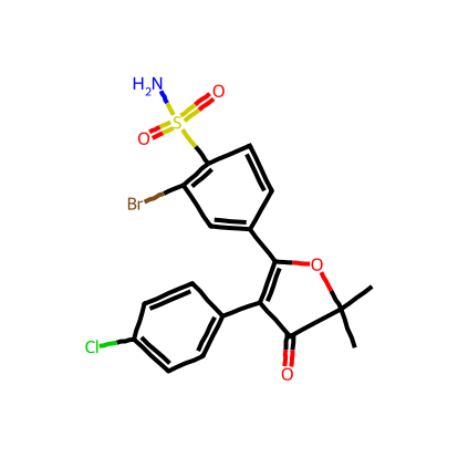 CC1(C)OC(c2ccc(S(N)(=O)=O)c(Br)c2)=C(c2ccc(Cl)cc2)C1=O